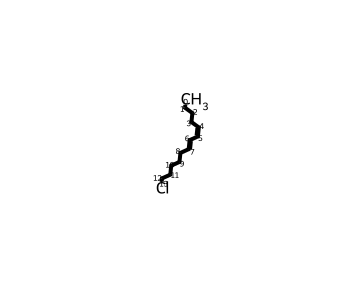 CCCC/C=C\C=C\CCCCCCl